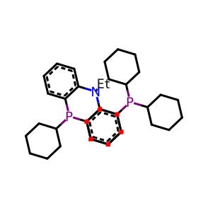 CCN(c1ccccc1P(C1CCCCC1)C1CCCCC1)c1ccccc1P(C1CCCCC1)C1CCCCC1